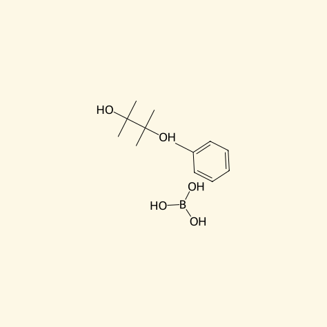 CC(C)(O)C(C)(C)O.Cc1ccccc1.OB(O)O